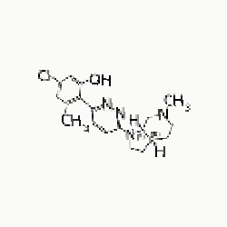 Cc1cc(Cl)cc(O)c1-c1ccc(N2CC[C@H]3CCN(C)C[C@H]32)nn1